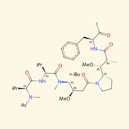 CC[C@H](C)[C@@H]([C@@H](CC(=O)N1CCC[C@H]1[C@H](OC)[C@@H](C)C(=O)N[C@@H](Cc1ccccc1)C(=O)I)OC)N(C)C(=O)[C@@H](NC(=O)[C@H](C(C)C)N(C)C(C)=O)C(C)C